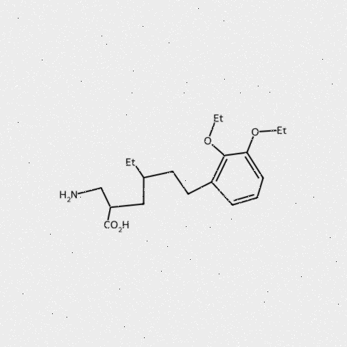 CCOc1cccc(CCC(CC)CC(CN)C(=O)O)c1OCC